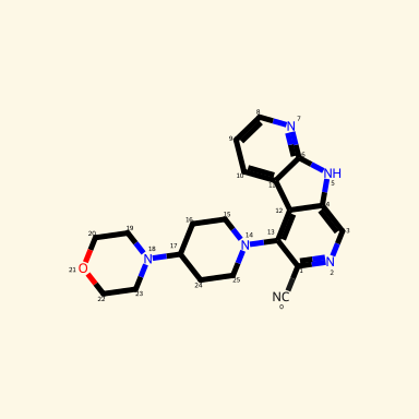 N#Cc1ncc2[nH]c3ncccc3c2c1N1CCC(N2CCOCC2)CC1